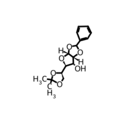 CC1(C)OC[C@H]([C@H]2O[C@@H]3OC(c4ccccc4)O[C@@H]3[C@H]2O)O1